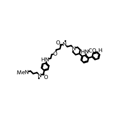 CNCCCN(C)C(=O)c1ccc(NCCOCCC(=O)N(C)CCN2CCC(c3cccc(-c4ccccc4)c3NC(=O)O)CC2)cc1